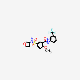 COc1ccc(S(=O)(=O)NC2CCOC2)cc1C(=O)Nc1cccc(C(F)(F)F)c1